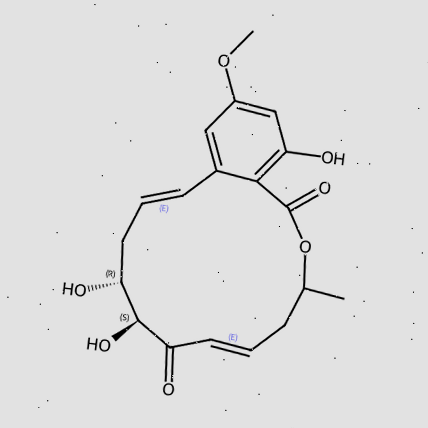 COc1cc(O)c2c(c1)/C=C/C[C@@H](O)[C@H](O)C(=O)/C=C/CC(C)OC2=O